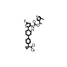 COC(=O)C1(c2ccc(-c3ccc(-c4sc(F)cc4NC(=O)O[C@H](C)c4cscc4C)cc3)cc2)CC1